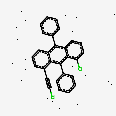 ClC#Cc1cccc2c(-c3ccccc3)c3cccc(Cl)c3c(-c3ccccc3)c12